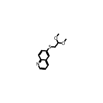 COC(CSc1ccc2ncccc2c1)OC